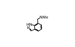 CNCc1cccc2cn[nH]c12